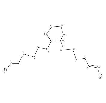 CCC=CCCCOC1CCCCC1OCCCC=CCC